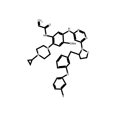 C=CC(=O)Nc1cc(Nc2cc(N3OCCC3Cc3cccc(Oc4cccc(F)c4)c3)ncn2)c(OC)cc1N1CCN(C2CC2)CC1